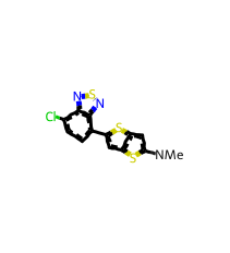 CNc1cc2sc(-c3ccc(Cl)c4nsnc34)cc2s1